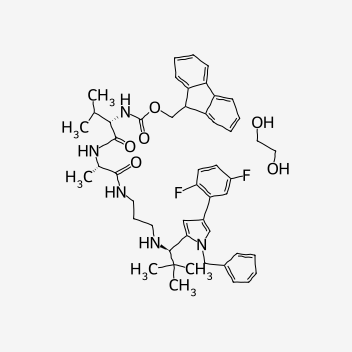 CC(C)[C@H](NC(=O)OCC1c2ccccc2-c2ccccc21)C(=O)N[C@@H](C)C(=O)NCCCN[C@@H](c1cc(-c2cc(F)ccc2F)cn1Cc1ccccc1)C(C)(C)C.OCCO